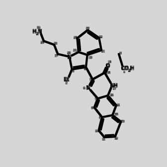 CC(=O)O.CCc1c(-c2nc3cc4ccccc4cc3[nH]c2=O)c2ccccc2n1CCCN